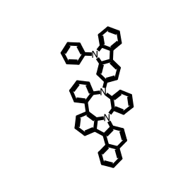 c1ccc(-n2c3ccccc3c3ccc(-n4c5ccccc5c5cccc6c7c8ccccc8ccc7n(c7ccccc74)c56)cc32)cc1